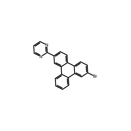 Brc1ccc2c3ccc(-c4ncccn4)cc3c3ccccc3c2c1